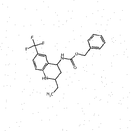 CCC1CC(NC(=O)OCc2ccccc2)c2cc(C(F)(F)F)ccc2N1